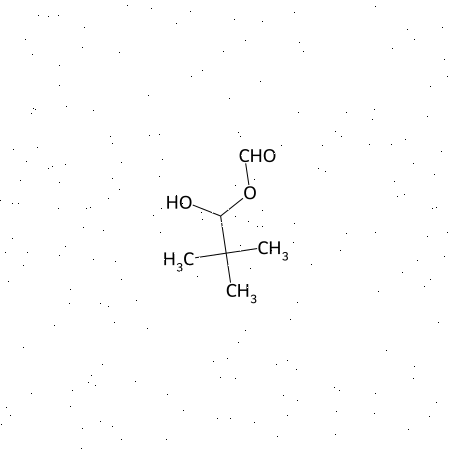 CC(C)(C)C(O)OC=O